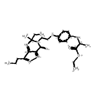 CCCC1=NN=C2C(=O)N(CCOc3ccc(NC(C)C(=O)OCC)cc3)C(C)(CC)N=C12